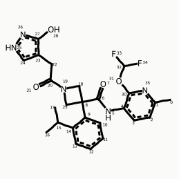 Cc1ccc(NC(=O)C2(c3ccccc3C(C)C)CN(C(=O)Cc3c[nH]nc3O)C2)c(OC(F)F)n1